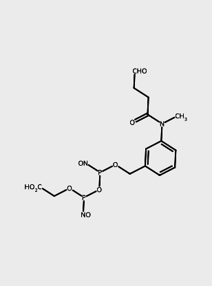 CN(C(=O)CCC=O)c1cccc(COP(N=O)OP(N=O)OCC(=O)O)c1